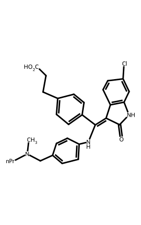 CCCN(C)Cc1ccc(N/C(=C2\C(=O)Nc3cc(Cl)ccc32)c2ccc(CCC(=O)O)cc2)cc1